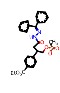 CCOC(=O)c1ccc(C(COS(C)(=O)=O)CC(=O)NN=C(c2ccccc2)c2ccccc2)cc1